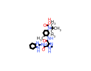 Cc1ccc(N(C(=O)O)C(C)(C)C)cc1NC(=O)c1nc[nH]c1C(=O)Nc1nc2ccccc2[nH]1